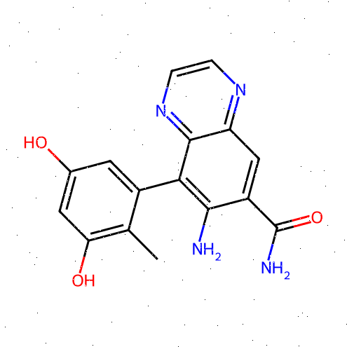 Cc1c(O)cc(O)cc1-c1c(N)c(C(N)=O)cc2nccnc12